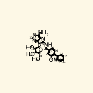 COc1cc(CNc2nc3c(N)ncnc3n2[C@@H]2O[C@H](CO)[C@@H](O)[C@H]2O)ccc1-c1ccccc1